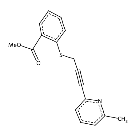 COC(=O)c1ccccc1SCC#Cc1cccc(C)n1